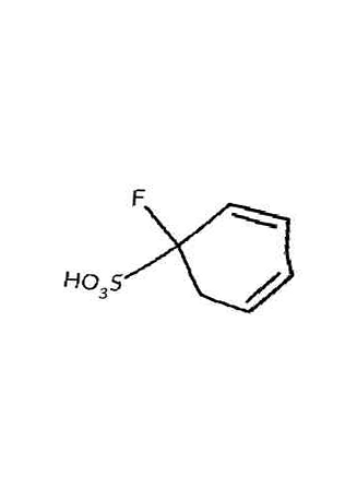 O=S(=O)(O)C1(F)C=CC=CC1